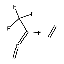 C=C.C=C=C(F)C(F)(F)F